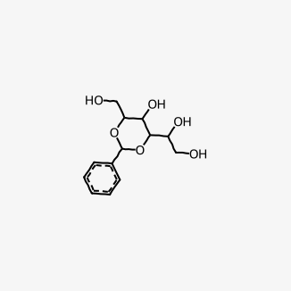 OCC(O)C1OC(c2ccccc2)OC(CO)C1O